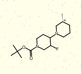 C[C@@H]1CCCN(C2CCN(C(=O)OC(C)(C)C)CC2F)C1